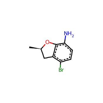 C[C@@H]1Cc2c(Br)ccc(N)c2O1